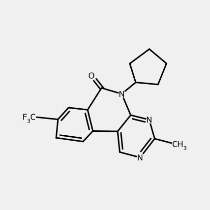 Cc1ncc2c3ccc(C(F)(F)F)cc3c(=O)n(C3CCCC3)c2n1